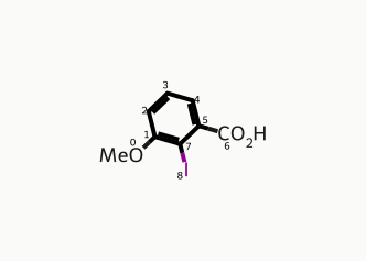 COc1cccc(C(=O)O)c1I